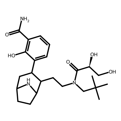 CC(C)(C)CN(CCC1C2CCC(CC1c1cccc(C(N)=O)c1O)N2)C(=O)[C@@H](O)CO